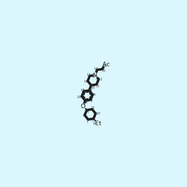 CC[C@H]1CC[C@@H](Oc2ccc(C3CCN(CCC(C)=O)CC3)cc2)CC1